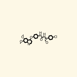 COc1cc2nccc(Oc3ccc(NC(=O)NN(C=O)c4ccc(Cl)cc4)cc3)c2cc1OC